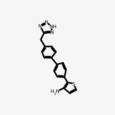 Nc1ccsc1-c1ccc(-c2ccc(Cc3nn[nH]n3)cc2)cc1